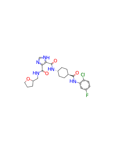 O=C(NCC1CCCO1)c1nc[nH]c1C(=O)N[C@H]1CC[C@H](C(=O)Nc2cc(F)ccc2Cl)CC1